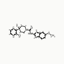 COc1ccc2nc(NC(=O)N3CCC(F)(c4nccnc4Cl)CC3)sc2c1